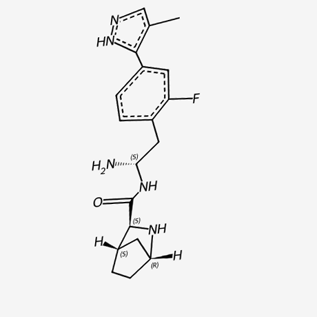 Cc1cn[nH]c1-c1ccc(C[C@@H](N)NC(=O)[C@H]2N[C@@H]3CC[C@H]2C3)c(F)c1